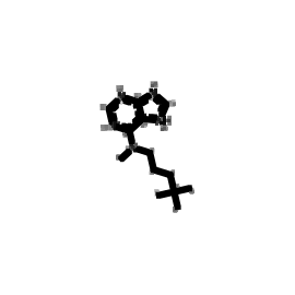 CN(CCCC(C)(C)C)c1ncnc2nc[nH]c12